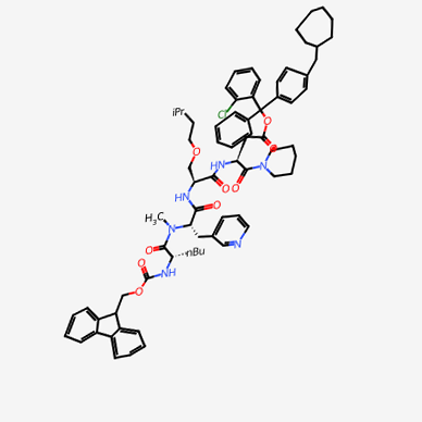 CCCC[C@H](NC(=O)OCC1c2ccccc2-c2ccccc21)C(=O)N(C)[C@@H](Cc1cccnc1)C(=O)N[C@@H](COCCC(C)C)C(=O)N[C@@H](CC(=O)OC(c1ccccc1)(c1ccc(CC2CCCCCC2)cc1)c1ccccc1Cl)C(=O)N1CCCCC1